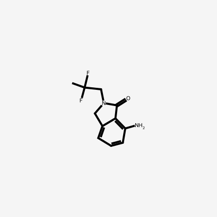 CC(F)(F)CN1Cc2cccc(N)c2C1=O